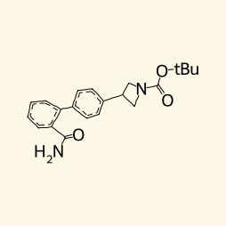 CC(C)(C)OC(=O)N1CC(c2ccc(-c3ccccc3C(N)=O)cc2)C1